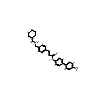 O=C(/C=C/c1ccc(CNCC2CCCCC2)cc1)Nc1ccc(-c2ccc(Cl)cc2)cc1